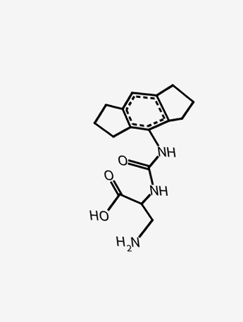 NCC(NC(=O)Nc1c2c(cc3c1CCC3)CCC2)C(=O)O